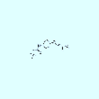 COC(=O)C=CO[C@H]1CC[C@H](N(C)C(=O)OC(C)(C)C)CC1